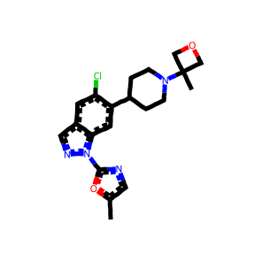 Cc1cnc(-n2ncc3cc(Cl)c(C4CCN(C5(C)COC5)CC4)cc32)o1